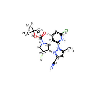 Cc1cc(C#N)nn1-c1nc(Cl)ccc1[C@@H]1C[C@H](F)CN1C(=O)OC(C)(C)C